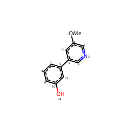 COc1cncc(-c2cccc(O)c2)c1